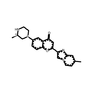 Cc1ccn2cc(-c3cc(=O)c4cc(N5CCN[C@H](C)C5)ccc4o3)nc2c1